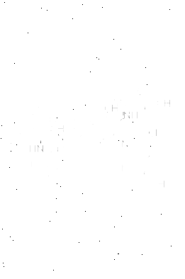 CO[C@@H](C)C(=O)N[C@@H](C(=O)N1C[C@@H]2CC3(C)C2C3[C@@H](C)C1)[C@@H](C)c1ccc(NC(=O)[C@@H](NC(=O)C2(F)CC2)C(C2CC2)C2CC2)c(F)c1